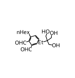 CCC(CO)(CO)CO.CCCCCCc1cccc(C=O)c1C=O